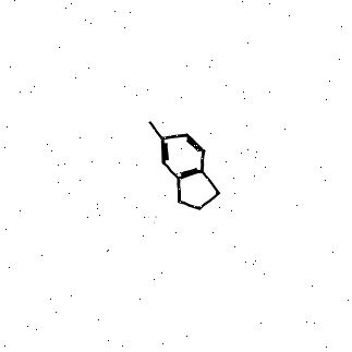 Cc1ccc2c(c1)[C@@H](N)CC2